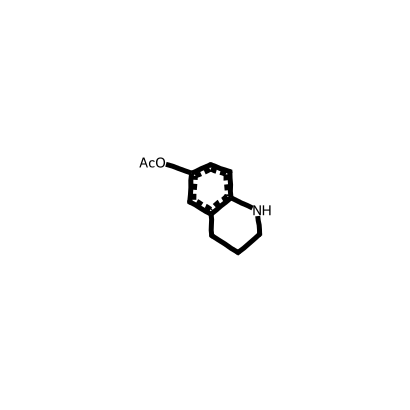 CC(=O)Oc1ccc2c(c1)CCCN2